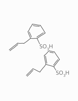 C=CCc1ccccc1S(=O)(=O)O.C=CCc1ccccc1S(=O)(=O)O